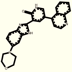 O=c1[nH]cc(-c2ccnc3ccccc23)cc1-c1nc2ccc(N3CCOCC3)cc2[nH]1